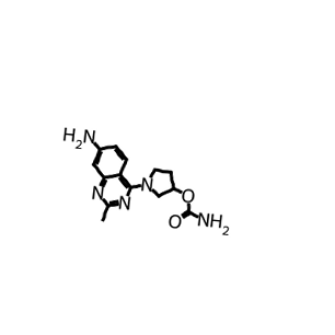 Cc1nc(N2CCC(OC(N)=O)C2)c2ccc(N)cc2n1